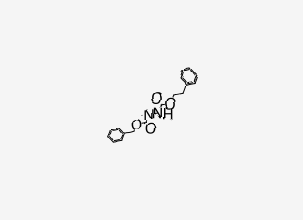 O=C([N]NC(=O)OCCc1ccccc1)OCc1ccccc1